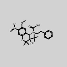 COc1cc2c(cc1[N+](=O)[O-])OC(C)(C)[C@@](O)(C(C)(C)C)[C@H]2N(CCc1ccccc1)C(=O)O